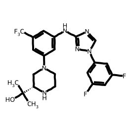 CC(C)(O)[C@@H]1CN(c2cc(Nc3ncn(-c4cc(F)cc(F)c4)n3)cc(C(F)(F)F)c2)CCN1